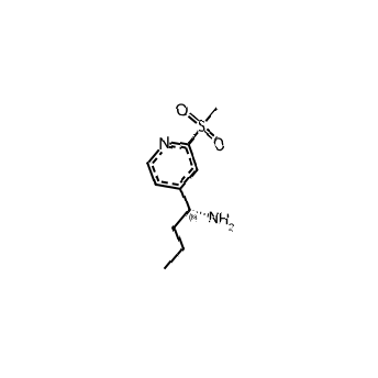 CCC[C@@H](N)c1ccnc(S(C)(=O)=O)c1